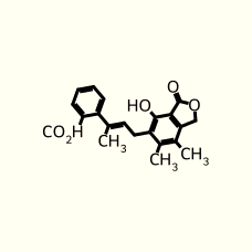 C/C(=C\Cc1c(C)c(C)c2c(c1O)C(=O)OC2)c1ccccc1C(=O)O